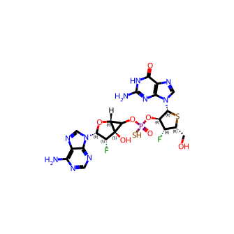 Nc1nc2c(ncn2[C@@H]2S[C@H](CO)[C@H](F)[C@H]2OP(=O)(S)OC2[C@H]3O[C@@H](n4cnc5c(N)ncnc54)[C@@H](F)[C@@]23O)c(=O)[nH]1